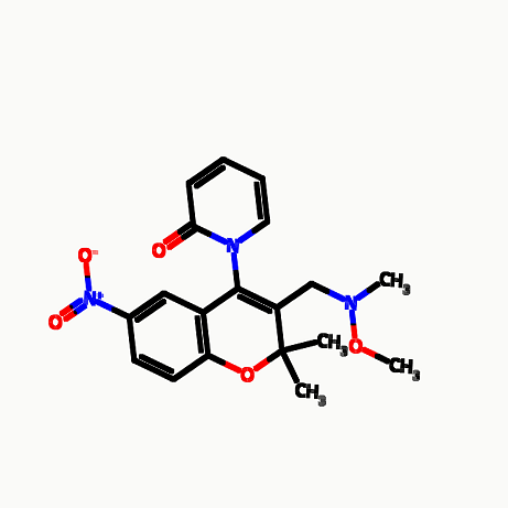 CON(C)CC1=C(n2ccccc2=O)c2cc([N+](=O)[O-])ccc2OC1(C)C